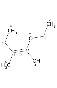 CCO/C(O)=C(/C)CC